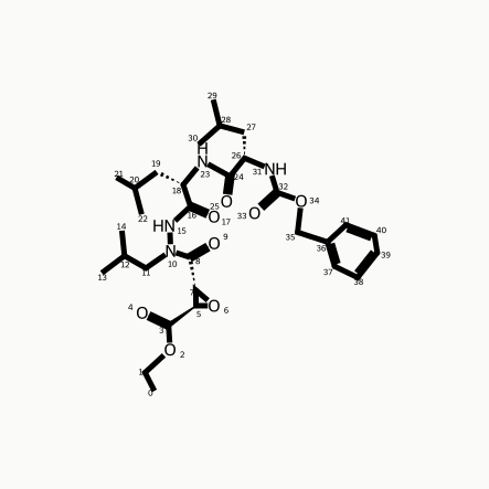 CCOC(=O)[C@@H]1O[C@H]1C(=O)N(CC(C)C)NC(=O)[C@H](CC(C)C)NC(=O)[C@H](CC(C)C)NC(=O)OCc1ccccc1